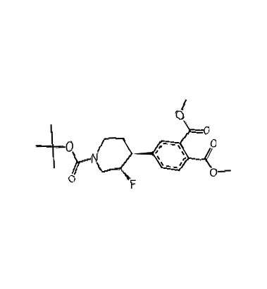 COC(=O)c1ccc([C@@H]2CCN(C(=O)OC(C)(C)C)C[C@@H]2F)cc1C(=O)OC